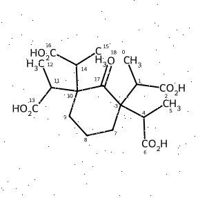 CC(C(=O)O)C1(C(C)C(=O)O)CCCC(C(C)C(=O)O)(C(C)C(=O)O)C1=O